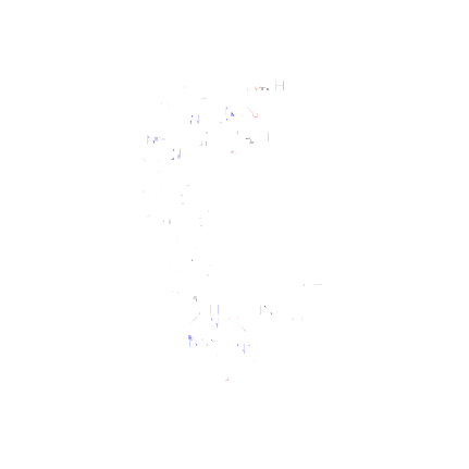 COC(=O)NCC(=O)N1CCOC[C@H]1c1ncc(-c2ccc(-c3ccc4cc(-c5cnc([C@@H]6CCCN6C(=O)[C@@H](NC(=O)OC)[C@@H](C)O)[nH]5)ccc4c3)cc2)[nH]1